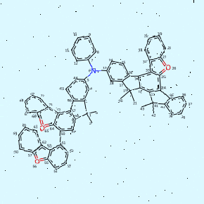 CC1(C)c2cc(N(c3ccccc3)c3ccc4c(c3)C(C)(C)c3c5c(c6oc7ccccc7c6c3-4)-c3ccccc3C5(C)C)ccc2-c2c1cc(-c1cccc3oc4ccccc4c13)c1oc3ccccc3c21